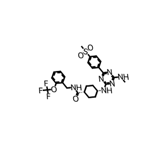 CNc1nc(N[C@H]2CC[C@@H](C(=O)NCc3ccccc3OC(F)(F)F)CC2)nc(-c2ccc(S(C)(=O)=O)cc2)n1